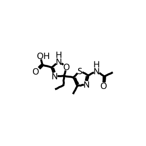 CCC1(c2sc(NC(C)=O)nc2C)N=C(C(=O)O)NO1